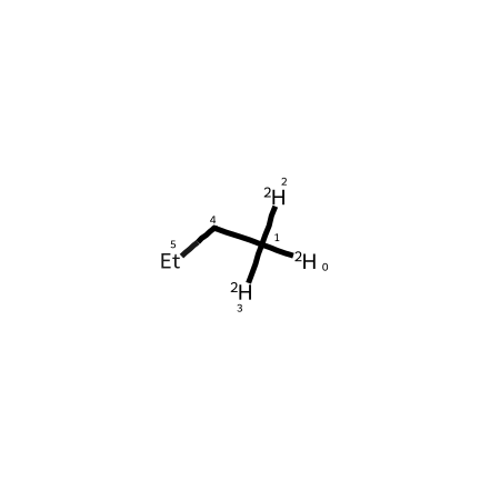 [2H]C([2H])([2H])CC[CH2]